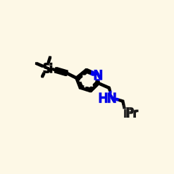 CC(C)CNCc1ccc(C#C[Si](C)(C)C)cn1